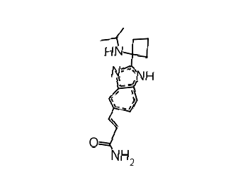 CC(C)NC1(c2nc3cc(/C=C/C(N)=O)ccc3[nH]2)CCC1